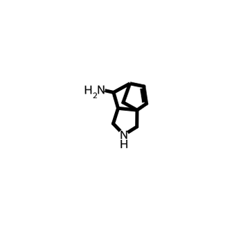 NC1C2C=CC3(CNCC13)C2